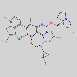 N#Cc1c(N)sc2c(F)ccc(-c3c(Cl)c4c5c(nc(OC[C@@]67CCCN6C[C@H](F)C7)nc5c3F)N(CC(F)F)C(C3CC3(F)F)CO4)c12